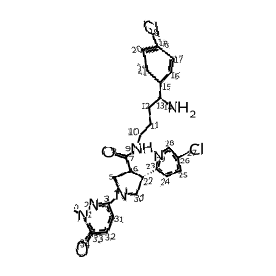 Cn1nc(N2CC(C(=O)NCCC[C@H](N)C3C=CC(Cl)=CC3)[C@H](c3ccc(Cl)cn3)C2)ccc1=O